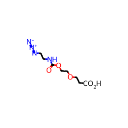 [N-]=[N+]=NCCNC(=O)OCCOCCC(=O)O